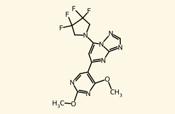 COc1ncc(-c2cc(N3CC(F)(F)C(F)(F)C3)n3ncnc3n2)c(OC)n1